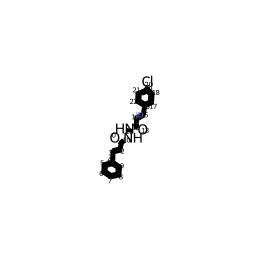 O=C(C=Cc1ccccc1)NNC(=O)/C=C/c1ccc(Cl)cc1